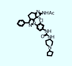 CC(=O)Nc1nc2c(s1)-c1c(c(-c3ccccc3)nn1-c1ccc(NC(=O)NC3CCN(C4CCCC4)CC3)cc1Cl)CC2